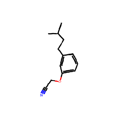 CC(C)CCc1cccc(OCC#N)c1